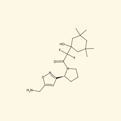 CC1(C)CC(C)(C)CC(O)(C(F)(F)C(=O)N2CCC[C@H]2c2cc(CN)on2)C1